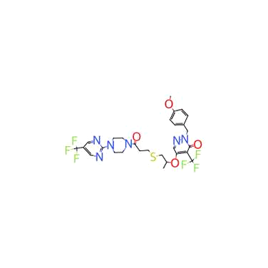 COc1ccc(Cn2ncc(OC(C)CSCCC(=O)N3CCN(c4ncc(C(F)(F)F)cn4)CC3)c(C(F)(F)F)c2=O)cc1